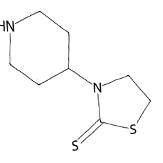 S=C1SCCN1C1CCNCC1